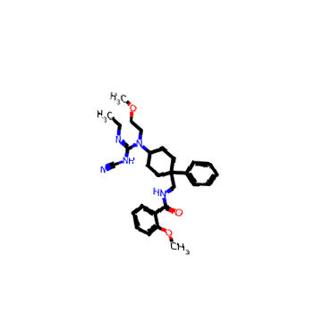 CC/N=C(/NC#N)N(CCOC)C1CCC(CNC(=O)c2ccccc2OC)(c2ccccc2)CC1